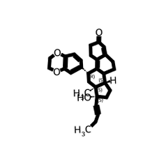 CCC#C[C@]1(O)CC[C@H]2C3CCC4=CC(=O)CCC4=C3[C@@H](c3ccc4c(c3)OCCO4)C[C@@]21C